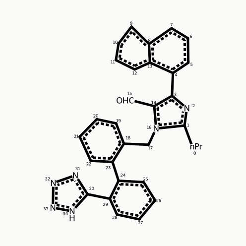 CCCc1nc(-c2cccc3ccccc23)c(C=O)n1Cc1ccccc1-c1ccccc1-c1nnn[nH]1